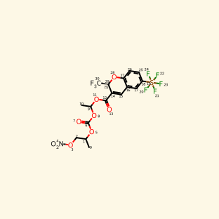 CC(CO[N+](=O)[O-])OC(=O)OC(C)OC(=O)C1=Cc2cc(S(F)(F)(F)(F)F)ccc2O[C@@H]1C(F)(F)F